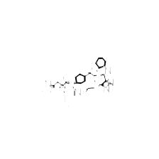 N#CCCNc1nonc1-c1nc2ccccc2n1CC(=O)c1ccc(NC(=O)[C@@H](N)CC(N)=O)cc1